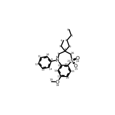 CCCCC1(CC)CN(c2ccccc2)c2cc(OC)ccc2S(=O)(=O)C1